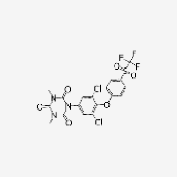 Cn1c(=O)n(C)c(=O)n(-c2cc(Cl)c(Oc3ccc(S(=O)(=O)C(F)(F)F)cc3)c(Cl)c2)c1=O